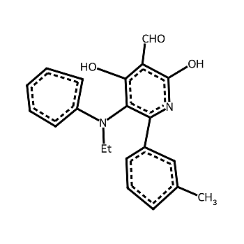 CCN(c1ccccc1)c1c(-c2cccc(C)c2)nc(O)c(C=O)c1O